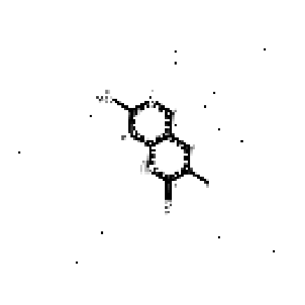 CSc1ncc2cc(C)c(=O)[nH]c2n1